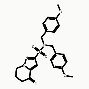 COc1ccc(CN(Cc2ccc(OC)cc2)S(=O)(=O)c2cc3n(n2)CCCC3=O)cc1